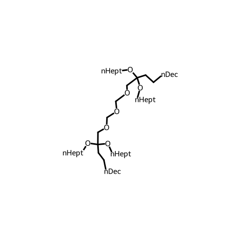 CCCCCCCCCCCCC(COCOCOCC(CCCCCCCCCCCC)(OCCCCCCC)OCCCCCCC)(OCCCCCCC)OCCCCCCC